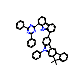 CC1(C)c2ccccc2-c2cc3c4cc(-c5cccc6c5[nH]c5c(-c7nc(-c8ccccc8)nc(-c8ccccc8)n7)cccc56)ccc4n(-c4ccccc4)c3cc21